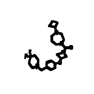 O=C(N1CCCN(C2CCC2)CC1)N1CC(Oc2ccc(CN3CCC(F)(F)CC3)cc2)C1